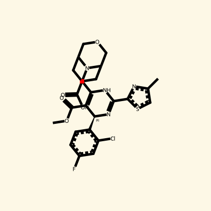 COC(=O)C1=C(CN2C3COCC2CC(C(=O)O)C3)NC(c2nc(C)cs2)=N[C@H]1c1ccc(F)cc1Cl